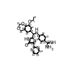 CCOc1cc(C(Nc2ccc(C(=N)N)cc2)c2nn(-c3ncccn3)c(=O)[nH]2)cc2c1OCOC2